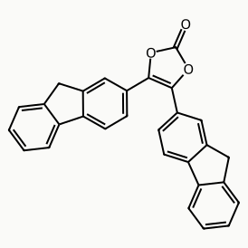 O=c1oc(-c2ccc3c(c2)Cc2ccccc2-3)c(-c2ccc3c(c2)Cc2ccccc2-3)o1